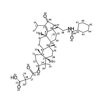 CC(C)C1=C2[C@H]3CCC4[C@@]5(C)CC[C@H](OC(=O)CC(C)(C)C(=O)O)C(C)(C)[C@H]5CC[C@@]4(C)[C@]3(C)CC[C@@]2(CCNC(=O)C2CCCCC2)CC1=O